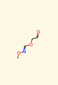 CON=COCC=O